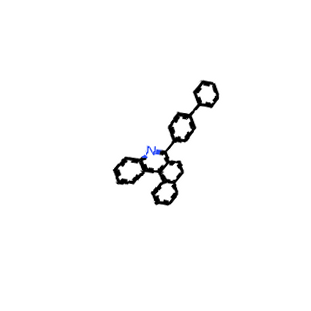 c1ccc(-c2ccc(-c3nc4ccccc4c4c3ccc3ccccc34)cc2)cc1